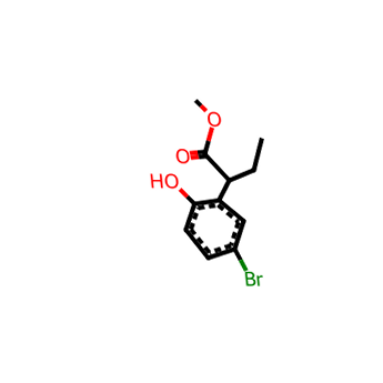 CCC(C(=O)OC)c1cc(Br)ccc1O